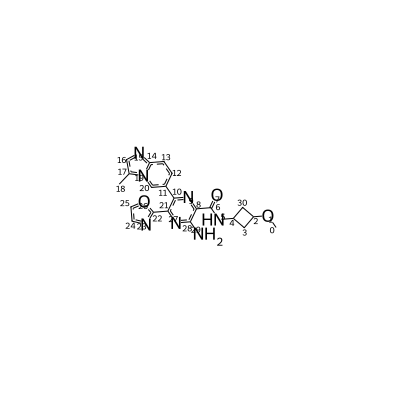 COC1CC(NC(=O)c2nc(-c3ccc4ncc(C)n4c3)c(-c3ncco3)nc2N)C1